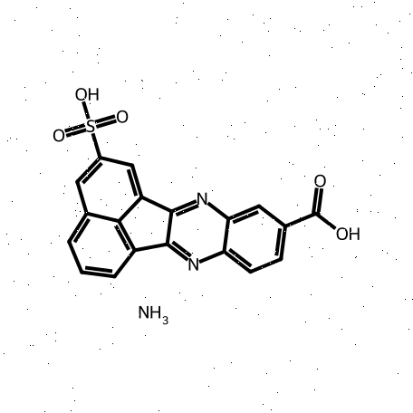 N.O=C(O)c1ccc2nc3c(nc2c1)-c1cc(S(=O)(=O)O)cc2cccc-3c12